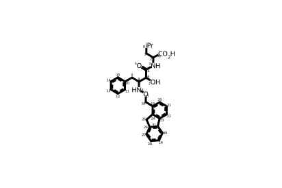 CC(C)CC(NC(=O)C(O)C(Cc1ccccc1)NOCc1cccc2c1Cc1ccccc1-2)C(=O)O